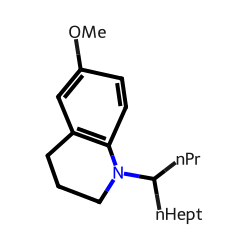 CCCCCCCC(CCC)N1CCCc2cc(OC)ccc21